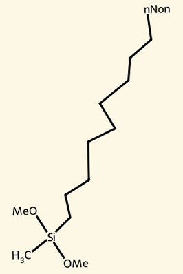 CCCCCCCCCCCCCCCCCC[Si](C)(OC)OC